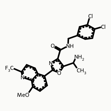 COc1ccc(-c2nc(C(=O)NCc3ccc(Cl)c(Cl)c3)c(C(C)N)o2)c2ccc(C(F)(F)F)nc12